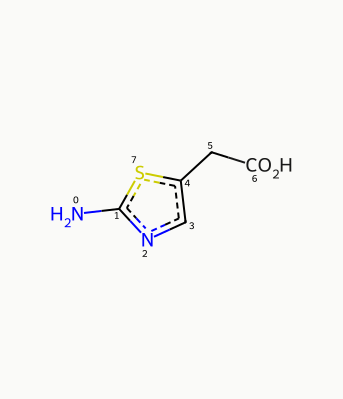 Nc1ncc(CC(=O)O)s1